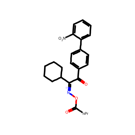 CCCC(=O)O/N=C(\C(=O)c1ccc(-c2ccccc2[N+](=O)[O-])cc1)C1CCCCC1